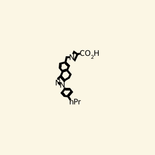 CCCc1ccc(-n2ncc3c2CCc2cc(CN4CC(C(=O)O)C4)ccc2-3)cc1